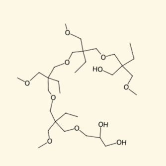 CCC(CO)(COC)COCC(CC)(COC)COCC(CC)(COC)COCC(CC)(COC)COCC(O)CO